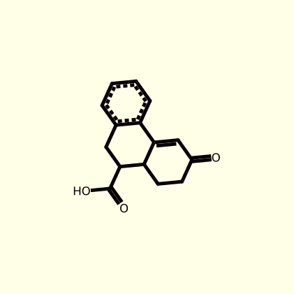 O=C1C=C2c3ccccc3CC(C(=O)O)C2CC1